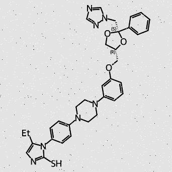 CCc1cnc(S)n1-c1ccc(N2CCN(c3cccc(OC[C@@H]4CO[C@@](Cn5cncn5)(c5ccccc5)O4)c3)CC2)cc1